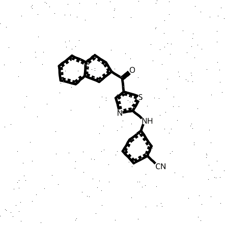 N#Cc1cccc(Nc2ncc(C(=O)c3ccc4ccccc4c3)s2)c1